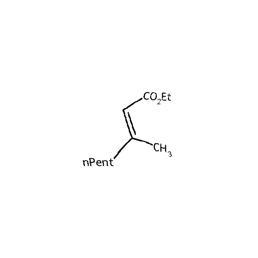 CCCCCC(C)=CC(=O)OCC